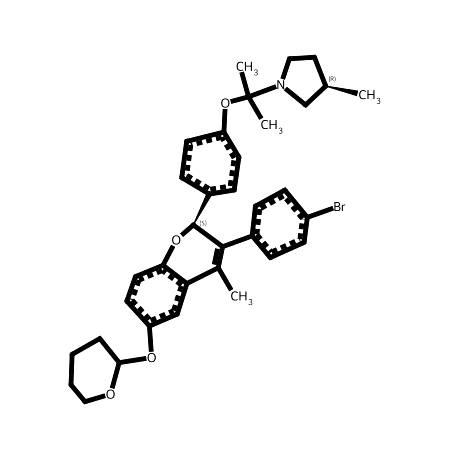 CC1=C(c2ccc(Br)cc2)[C@H](c2ccc(OC(C)(C)N3CC[C@@H](C)C3)cc2)Oc2ccc(OC3CCCCO3)cc21